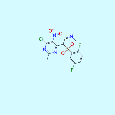 C/N=C\C(c1nc(C)nc(Cl)c1[N+](=O)[O-])S(=O)(=O)c1cc(F)ccc1F